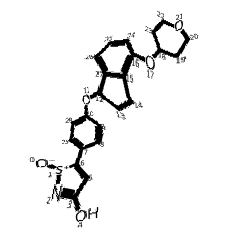 [O-][s+]1nc(O)cc1-c1ccc(OC2CCc3c(OC4CCOCC4)cccc32)cc1